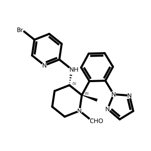 C[C@]1(c2ccccc2-n2nccn2)[C@@H](Nc2ccc(Br)cn2)CCCN1C=O